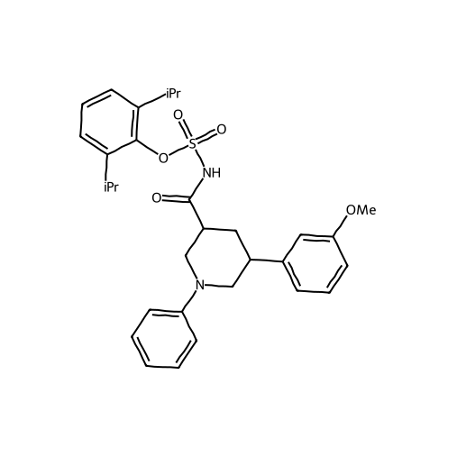 COc1cccc(C2CC(C(=O)NS(=O)(=O)Oc3c(C(C)C)cccc3C(C)C)CN(c3ccccc3)C2)c1